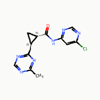 Cc1ncnc([C@H]2C[C@@H]2C(=O)Nc2cc(Cl)ncn2)n1